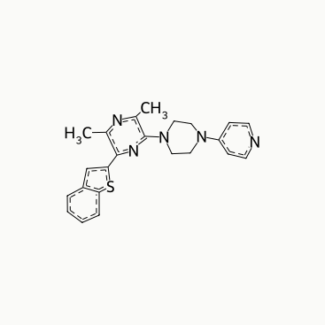 Cc1nc(C)c(N2CCN(c3ccncc3)CC2)nc1-c1cc2ccccc2s1